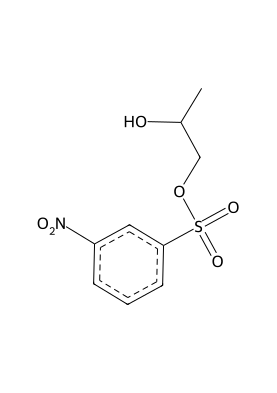 CC(O)COS(=O)(=O)c1cccc([N+](=O)[O-])c1